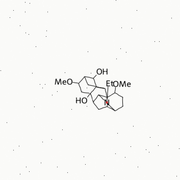 CCN1CC2CCC(OC)C34C2CC(C13)C1(O)CC(OC)C2CC4C1C2O